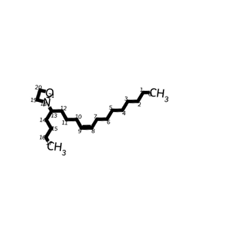 CCCCCCCC/C=C\CCCC(CCCC)N1CCO1